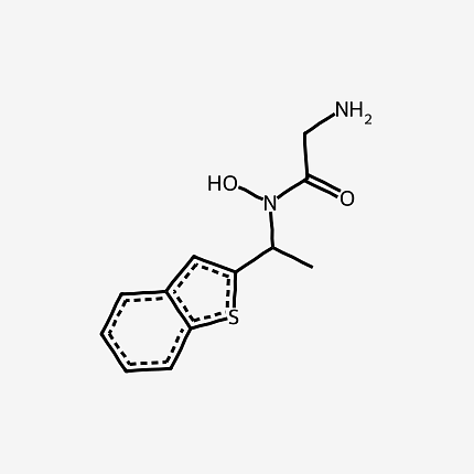 CC(c1cc2ccccc2s1)N(O)C(=O)CN